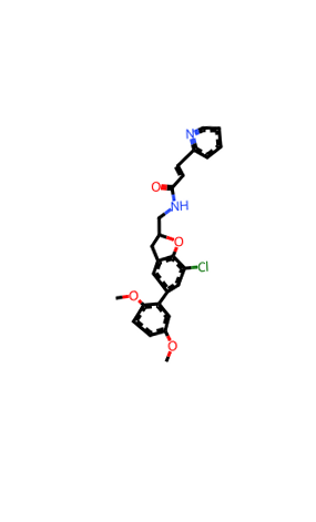 COc1ccc(OC)c(-c2cc(Cl)c3c(c2)CC(CNC(=O)C=Cc2ccccn2)O3)c1